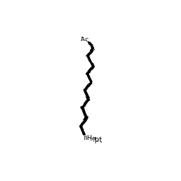 CCCCCCCCCCCCCCCCCC(C)=O